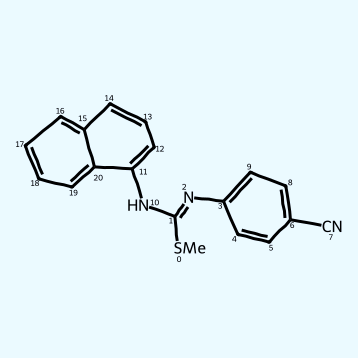 CSC(=Nc1ccc(C#N)cc1)Nc1cccc2ccccc12